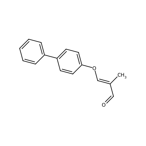 C/C(C=O)=C\Oc1ccc(-c2ccccc2)cc1